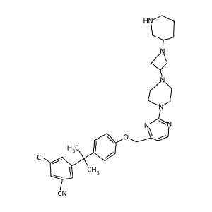 CC(C)(c1ccc(OCc2ccnc(N3CCN(C4CN(C5CCCNC5)C4)CC3)n2)cc1)c1cc(Cl)cc(C#N)c1